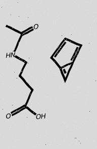 CC(=O)NCCCC(=O)O.c1cc2cc-2c1